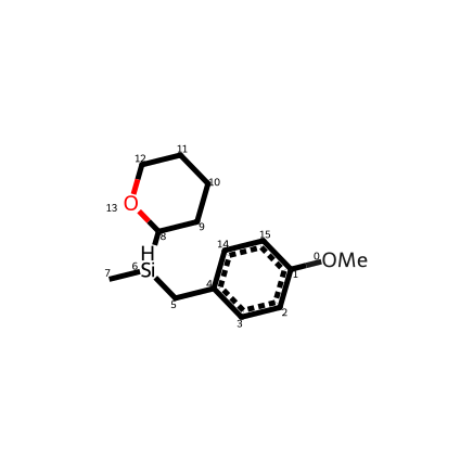 COc1ccc(C[SiH](C)C2CCCCO2)cc1